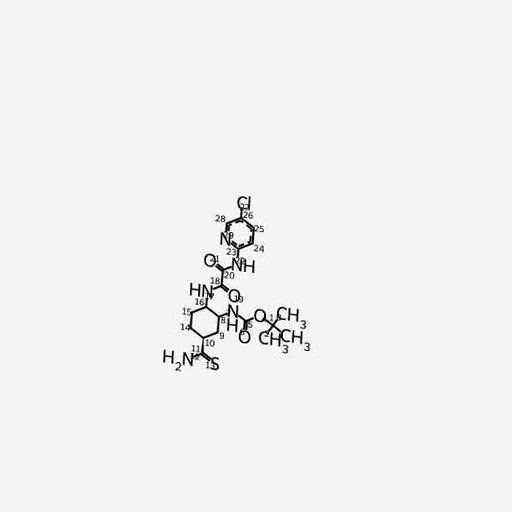 CC(C)(C)OC(=O)NC1C[C@@H](C(N)=S)CCC1NC(=O)C(=O)Nc1ccc(Cl)cn1